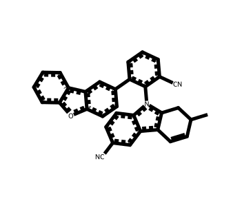 CC1C=Cc2c(n(-c3c(C#N)cccc3-c3ccc4oc5ccccc5c4c3)c3ccc(C#N)cc23)C1